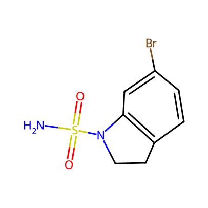 NS(=O)(=O)N1CCc2ccc(Br)cc21